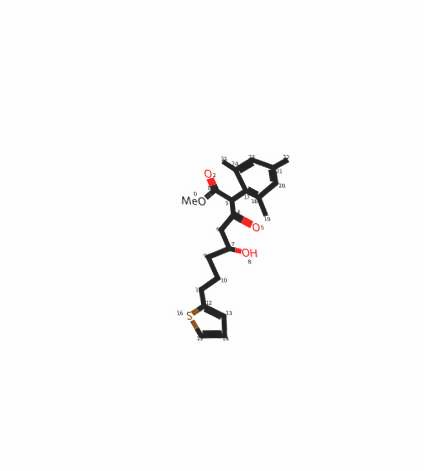 COC(=O)C(C(=O)CC(O)CCCc1cccs1)c1c(C)cc(C)cc1C